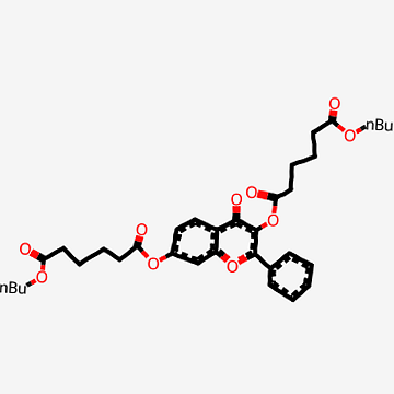 CCCCOC(=O)CCCCC(=O)Oc1ccc2c(=O)c(OC(=O)CCCCC(=O)OCCCC)c(-c3ccccc3)oc2c1